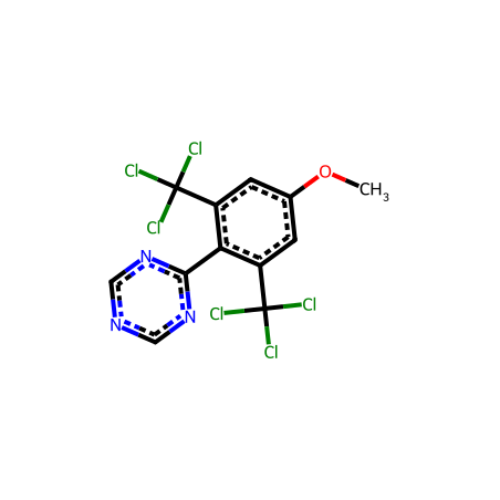 COc1cc(C(Cl)(Cl)Cl)c(-c2ncncn2)c(C(Cl)(Cl)Cl)c1